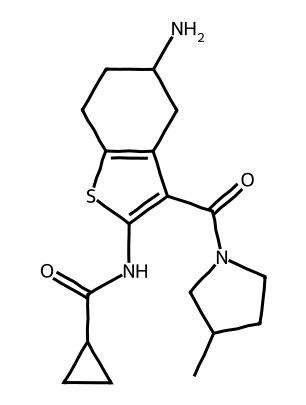 CC1CCN(C(=O)c2c(NC(=O)C3CC3)sc3c2CC(N)CC3)C1